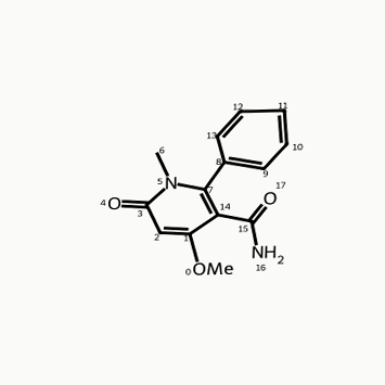 COc1cc(=O)n(C)c(-c2ccccc2)c1C(N)=O